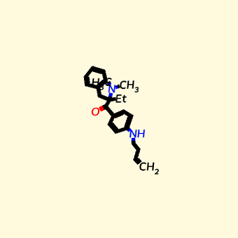 C=CCCNc1ccc(C(=O)C(CC)(Cc2ccccc2)N(C)C)cc1